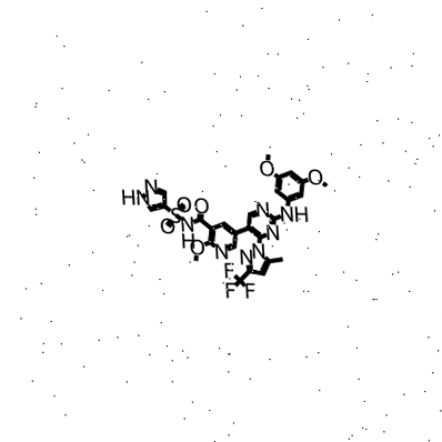 COc1cc(Nc2ncc(-c3cnc(OC)c(C(=O)NS(=O)(=O)c4cn[nH]c4)c3)c(-n3nc(C(F)(F)F)cc3C)n2)cc(OC)c1